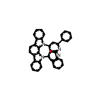 c1ccc(-c2cc(-n3c4ccccc4c4ccc5c6ccccc6n(-c6ccncc6)c5c43)cc(-c3ccccc3)n2)cc1